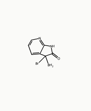 BC1(Br)C(=O)Nc2ncccc21